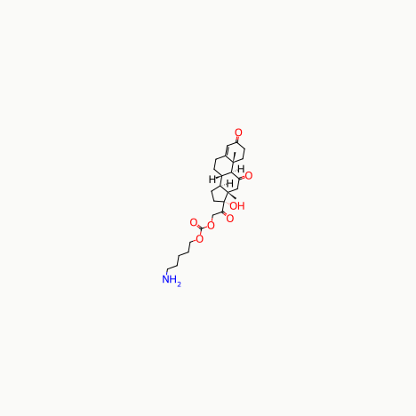 C[C@]12CCC(=O)C=C1CC[C@@H]1[C@@H]2C(=O)C[C@@]2(C)[C@H]1CC[C@]2(O)C(=O)COC(=O)OCCCCCN